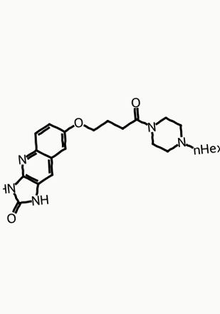 CCCCCCN1CCN(C(=O)CCCOc2ccc3nc4[nH]c(=O)[nH]c4cc3c2)CC1